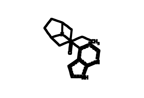 CCC(=O)N1C2CCC1CN(c1ncnc3[nH]ccc13)C2